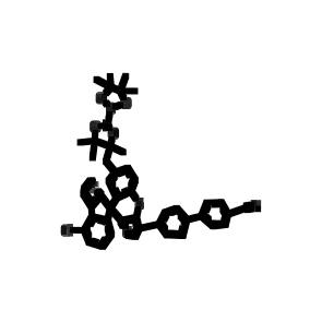 CC1(C)OB(B2OC(C)(C)C(C)(Cc3ccc4c(c3)C3(c5ccccc5-c5c(Cl)cccc53)c3cccc(-c5ccc(-c6ccc(C#N)cc6)cc5)c3S4)O2)OC1(C)C